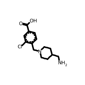 NCC1CCN(Cc2ccc(C(=O)O)cc2Cl)CC1